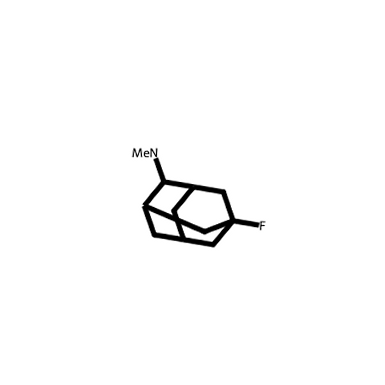 CNC1C2CC3CC1CC(F)(C3)C2